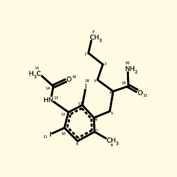 CCCCC(Cc1c(C)cc(I)c(NC(C)=O)c1I)C(N)=O